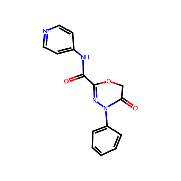 O=C(Nc1ccncc1)C1=NN(c2ccccc2)C(=O)CO1